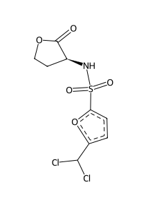 O=C1OCC[C@@H]1NS(=O)(=O)c1ccc(C(Cl)Cl)o1